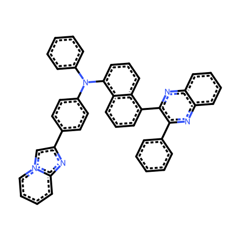 c1ccc(-c2nc3ccccc3nc2-c2cccc3c(N(c4ccccc4)c4ccc(-c5cn6ccccc6n5)cc4)cccc23)cc1